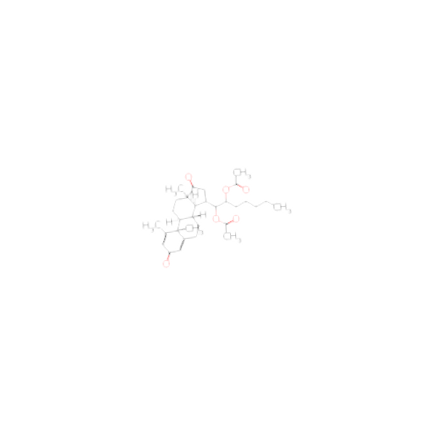 CCCCCC(OC(C)=O)C(OC(C)=O)[C@@H]1CC(=O)[C@@]2(C)CC[C@H]3[C@@H](CCC4=CC(=O)C=C(C)[C@@]43C)[C@H]12